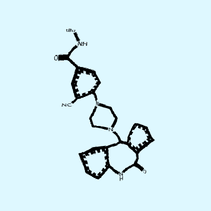 CC(C)(C)NC(=O)c1ccc(N2CCN(C3c4ccccc4NC(=O)c4ccccc43)CC2)c(C#N)c1